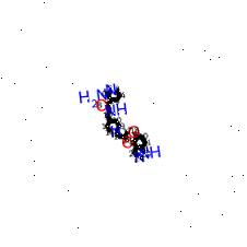 Nc1ncccc1C(=O)NCC1CCN(CC2COc3ccc4[nH]ncc4c3O2)CC1